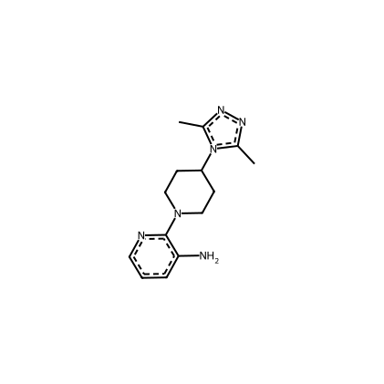 Cc1nnc(C)n1C1CCN(c2ncccc2N)CC1